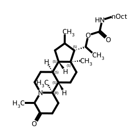 CCCCCCCCNC(=O)OC(C)[C@H]1C(C)C[C@H]2[C@@H]3CCN4C(C)C(=O)CC[C@]4(C)[C@H]3CC[C@]12C